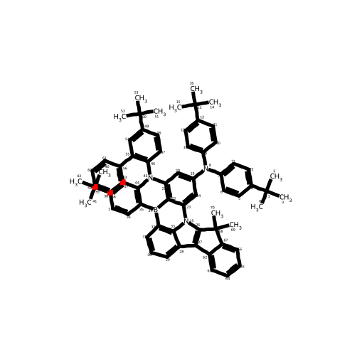 CC(C)(C)c1ccc(N(c2ccc(C(C)(C)C)cc2)c2cc3c4c(c2)-n2c5c(c6cccc(c62)B4c2ccc(C(C)(C)C)cc2N3c2ccc(C(C)(C)C)cc2-c2ccccc2)-c2ccccc2C5(C)C)cc1